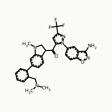 CN(C)Cc1ccccc1-c1ccc2c(c1)N(C)CC2C(=O)c1cc(C(F)(F)F)nn1-c1ccc2onc(N)c2c1